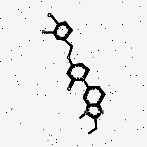 CCc1nc2ccc(-n3ccc(OCc4ccc(Cl)c(F)c4)cc3=O)cc2n1C